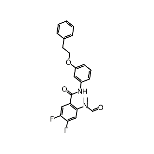 O=CNc1cc(F)c(F)cc1C(=O)Nc1cccc(OCCc2ccccc2)c1